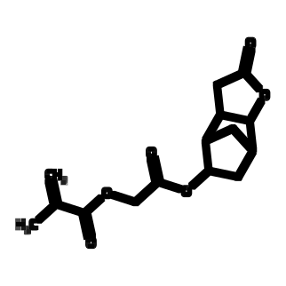 C=C(C)C(=O)OCC(=O)OC1CC2CC1C1CC(=O)OC21